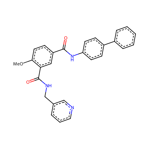 COc1ccc(C(=O)Nc2ccc(-c3ccccc3)cc2)cc1C(=O)NCc1cccnc1